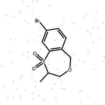 CC1COCc2ccc(Br)cc2S1(=O)=O